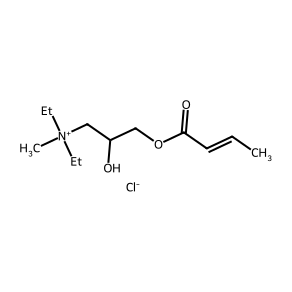 CC=CC(=O)OCC(O)C[N+](C)(CC)CC.[Cl-]